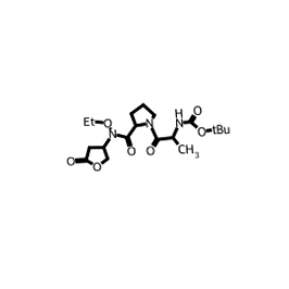 CCON(C(=O)C1CCCN1C(=O)C(C)NC(=O)OC(C)(C)C)C1COC(=O)C1